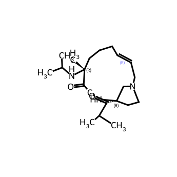 CC(C)N[C@]1(C)CCC/C=C/CN2CC[C@](C(=O)C(C)C)(C2)NCC1=O